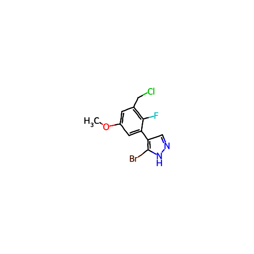 COc1cc(CCl)c(F)c(-c2cn[nH]c2Br)c1